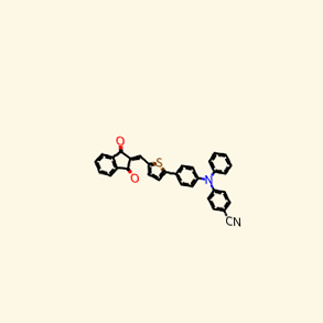 N#Cc1ccc(N(c2ccccc2)c2ccc(-c3ccc(C=C4C(=O)c5ccccc5C4=O)s3)cc2)cc1